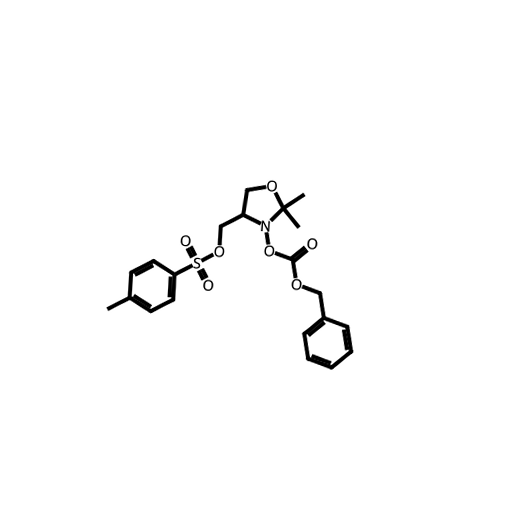 Cc1ccc(S(=O)(=O)OCC2COC(C)(C)N2OC(=O)OCc2ccccc2)cc1